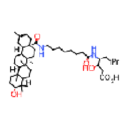 CC1=CC[C@]2(C(=O)NCCCCCCCC(=O)N[C@@H](CC(C)C)[C@H](O)CC(=O)O)CC[C@]3(C)C(CC[C@@H]4[C@@]5(C)CC[C@H](O)C(C)(C)[C@@H]5CC[C@]43C)[C@H]2C1